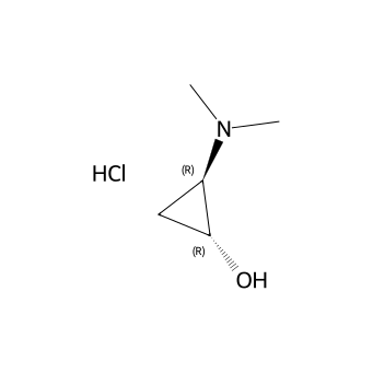 CN(C)[C@@H]1C[C@H]1O.Cl